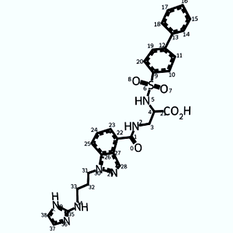 O=C(NCC(NS(=O)(=O)c1ccc(-c2ccccc2)cc1)C(=O)O)c1cccc2c1cnn2CCCNc1ncc[nH]1